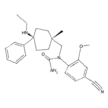 CCN[C@]1(c2ccccc2)CC[C@@](C)(CN(C(N)=O)c2ccc(C#N)cc2OC)CC1